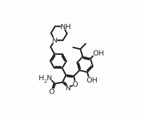 CC(C)c1cc(-c2onc(C(N)=O)c2-c2ccc(CN3CCNCC3)cc2)c(O)cc1O